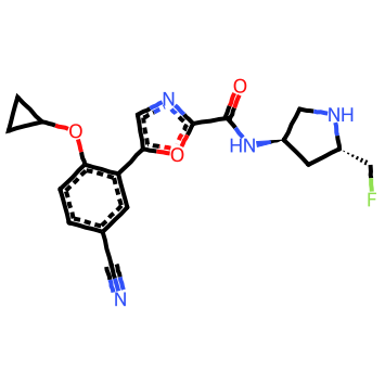 N#Cc1ccc(OC2CC2)c(-c2cnc(C(=O)N[C@H]3CN[C@H](CF)C3)o2)c1